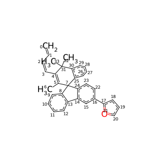 C=C/C=C\C1=C(C)C2(c3ccccc3-c3cc(-c4ccco4)ccc32)c2ccccc2C1(C)C